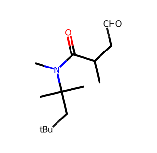 CC(CC=O)C(=O)N(C)C(C)(C)CC(C)(C)C